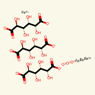 O=C([O-])[C@@H](O)[C@@H](O)[C@H](O)[C@@H](O)C(=O)[O-].O=C([O-])[C@@H](O)[C@@H](O)[C@H](O)[C@@H](O)C(=O)[O-].O=C([O-])[C@@H](O)[C@@H](O)[C@H](O)[C@@H](O)C(=O)[O-].[Fe+3].[Fe+3].[Fe+3].[Fe+3].[O-2].[O-2].[O-2]